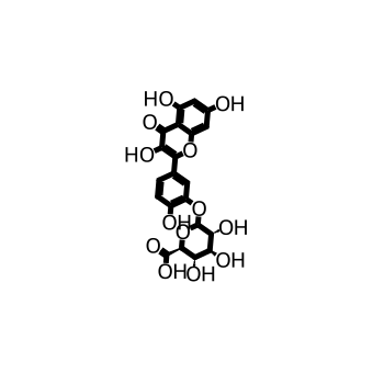 O=C(O)[C@H]1OC(Oc2cc(-c3oc4cc(O)cc(O)c4c(=O)c3O)ccc2O)[C@H](O)[C@@H](O)[C@@H]1O